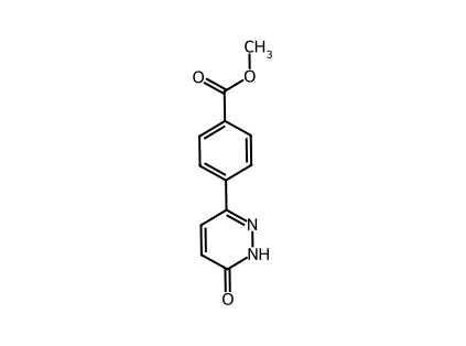 COC(=O)c1ccc(-c2ccc(=O)[nH]n2)cc1